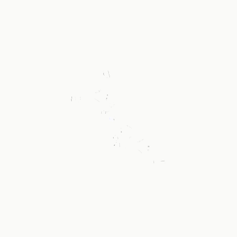 CCc1ccc(-c2ccc(/C=C/C(=O)Oc3cc(CC)cc(CC)c3)c(OC)c2)cc1